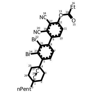 CCCCCC12CCC(c3ccc(-c4ccc(OC(=O)CC)c(C#N)c4C#N)c(Br)c3Br)(CC1)CC2